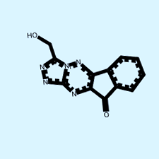 O=C1c2ccccc2-c2nn3c(CO)nnc3nc21